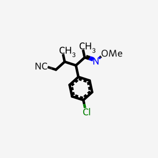 CON=C(C)C(c1ccc(Cl)cc1)C(C)CC#N